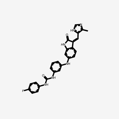 Cc1nc[nH]c1C=C1C(=O)Nc2cc(Nc3cccc(NC(=O)Nc4ccc(F)cc4)c3)ccc21